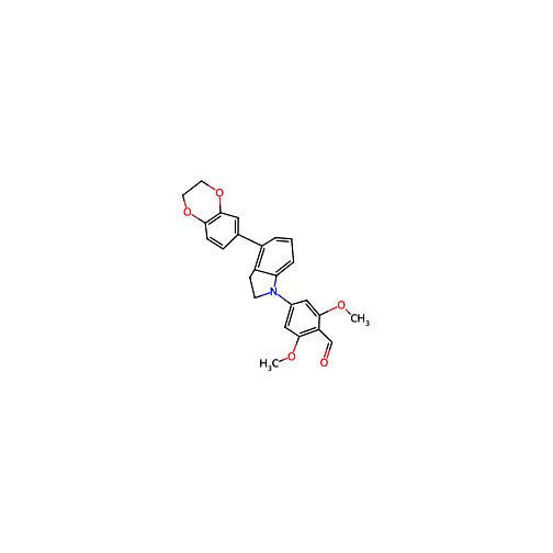 COc1cc(N2CCc3c(-c4ccc5c(c4)OCCO5)cccc32)cc(OC)c1C=O